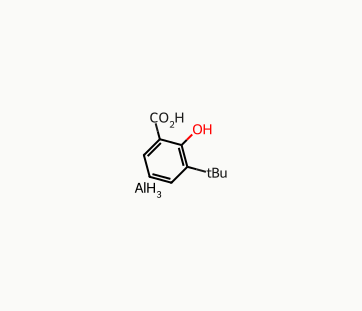 CC(C)(C)c1cccc(C(=O)O)c1O.[AlH3]